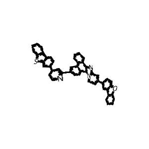 c1ccc2c(c1)oc1ccc(-c3ccn4c(c3)nc3c5ccccc5c5cc(-c6cc(-c7ccc8c(c7)sc7ccccc78)ccn6)ccc5c34)cc12